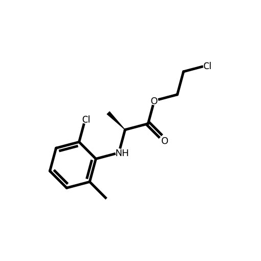 Cc1cccc(Cl)c1N[C@@H](C)C(=O)OCCCl